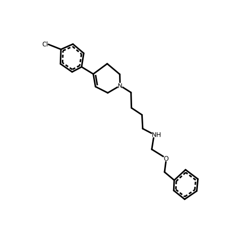 Clc1ccc(C2=CCN(CCCCNCOCc3ccccc3)CC2)cc1